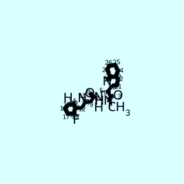 CNC(=O)[C@H](CNC(=O)C[C@H](N)Cc1ccccc1F)c1ccc2ccccc2n1